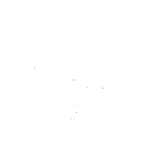 Cc1nnc(SCC2=C(C(=O)O)N3C(=O)[C@@H](NC(=O)C(NC(N)=O)c4csc(=N)[nH]4)C3SC2)s1